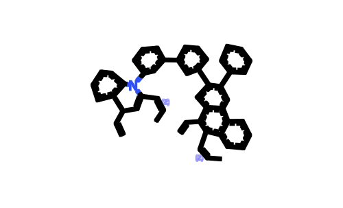 C=Cc1c(/C=C\C)c2ccccc2c2cc(-c3ccccc3)c(-c3cccc(-c4cccc(N5C(/C=C\C)=CC(C=C)c6ccccc65)c4)c3)cc12